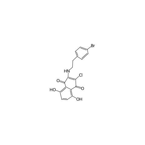 O=C1C(Cl)=C(NCCc2ccc(Br)cc2)C(=O)c2c(O)ccc(O)c21